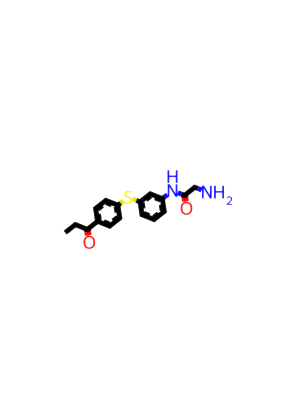 CCC(=O)c1ccc(Sc2cccc(NC(=O)CN)c2)cc1